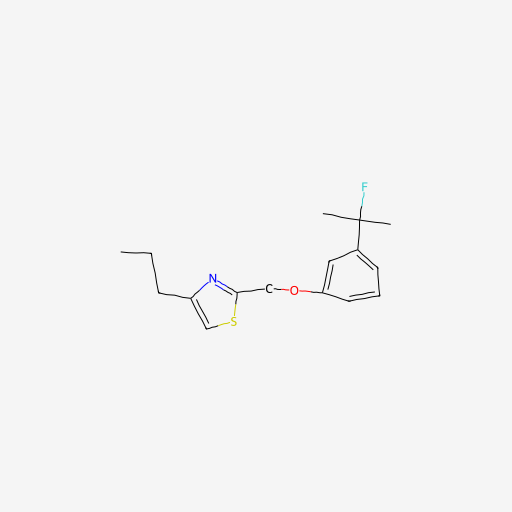 CCCc1csc(COc2cccc(C(C)(C)F)c2)n1